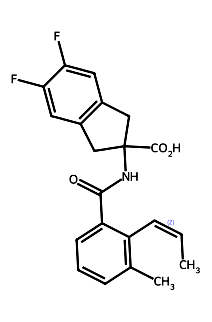 C/C=C\c1c(C)cccc1C(=O)NC1(C(=O)O)Cc2cc(F)c(F)cc2C1